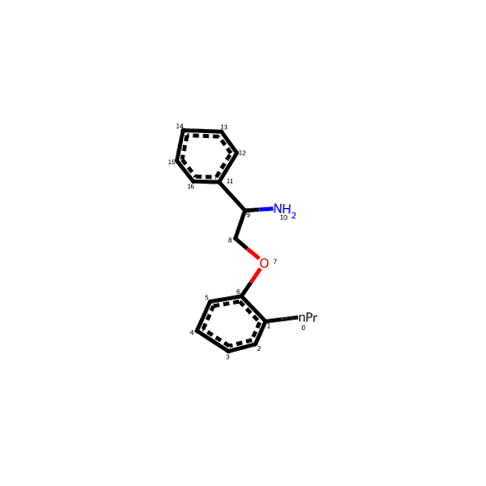 CCCc1ccccc1OCC(N)c1ccccc1